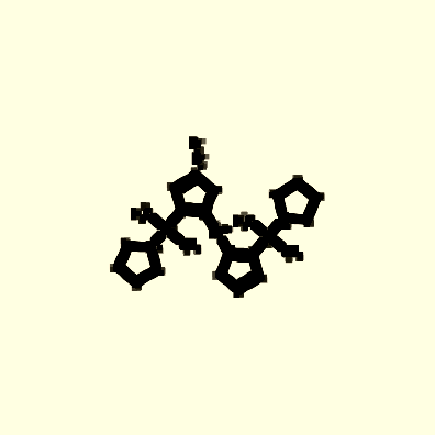 C[Si](C)(C1=[C]([Hf+2][C]2=C([Si](C)(C)N3CCCC3)C=CC2)CC=C1)N1CCCC1.[Br-].[Br-]